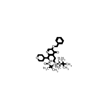 CC(C)(C)[S+]([O-])NC(C1=C(CCO[Si](C)(C)C(C)(C)C)C(=O)C(OCc2ccccc2)C=N1)C1CCOCC1